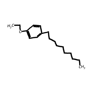 [CH2]COc1ccc(CCCCCCCCCC)cc1